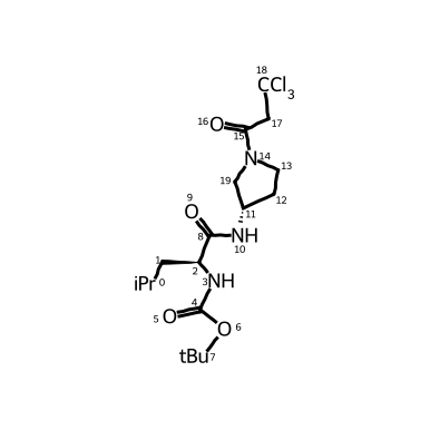 CC(C)C[C@H](NC(=O)OC(C)(C)C)C(=O)N[C@H]1CCN(C(=O)CC(Cl)(Cl)Cl)C1